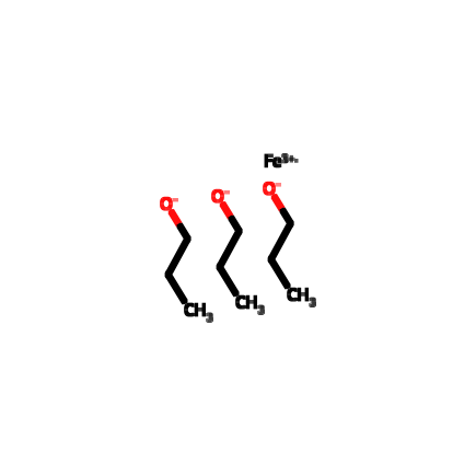 CCC[O-].CCC[O-].CCC[O-].[Fe+3]